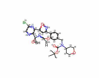 CC(C)(C)OC(=O)N(Cc1ccc(-c2cc(-c3nc(Br)cnc3C3(/N=C4\BO4)BO3)on2)cc1)C1CCOCC1